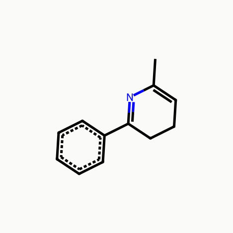 CC1=CCCC(c2ccccc2)=N1